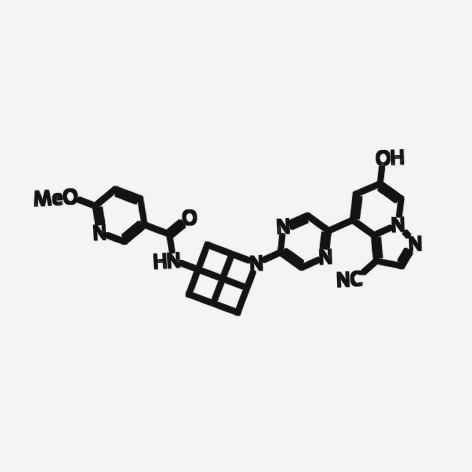 COc1ccc(C(=O)NC23CC4CC5N(c6cnc(-c7cc(O)cn8ncc(C#N)c78)cn6)C(C2)C453)cn1